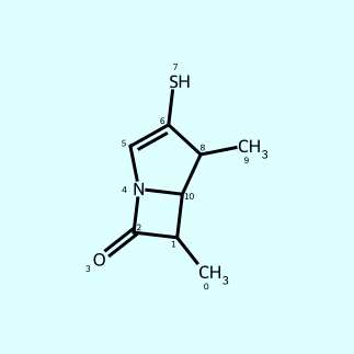 CC1C(=O)N2C=C(S)C(C)C12